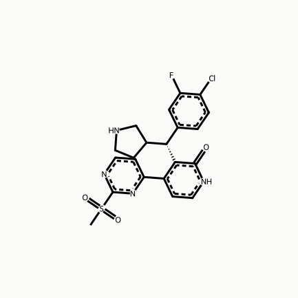 CS(=O)(=O)c1nccc(-c2cc[nH]c(=O)c2[C@@H](c2ccc(Cl)c(F)c2)C2CCNC2)n1